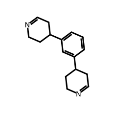 C1=NCCC(c2cccc(C3CC=NCC3)c2)C1